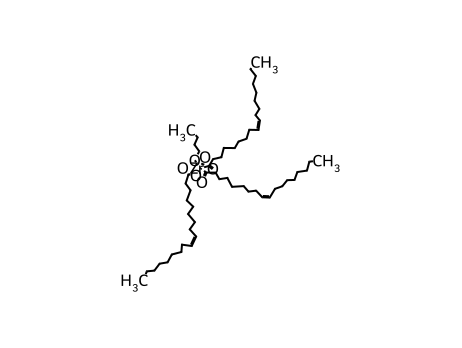 CCCCCCCC/C=C\CCCCCCCC(=O)[O][Zr](=[O])([O]CCCC)([C](=O)CCCCCCC/C=C\CCCCCCCC)[C](=O)CCCCCCC/C=C\CCCCCCCC